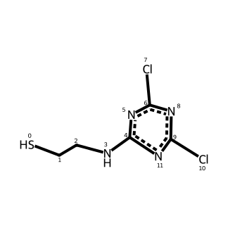 SCCNc1nc(Cl)nc(Cl)n1